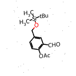 CC(=O)Oc1ccc(CO[Si](C)(C)C(C)(C)C)cc1C=O